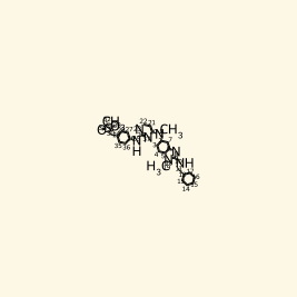 CN(c1ccc2c(c1)nc(NCc1ccccc1)n2C)c1ccnc(Nc2ccc(CS(C)(=O)=O)cc2)n1